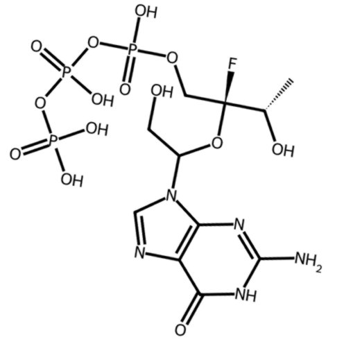 C[C@H](O)[C@@](F)(COP(=O)(O)OP(=O)(O)OP(=O)(O)O)OC(CO)n1cnc2c(=O)[nH]c(N)nc21